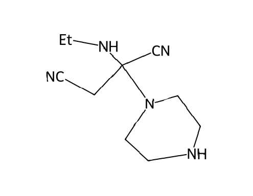 CCNC(C#N)(CC#N)N1CCNCC1